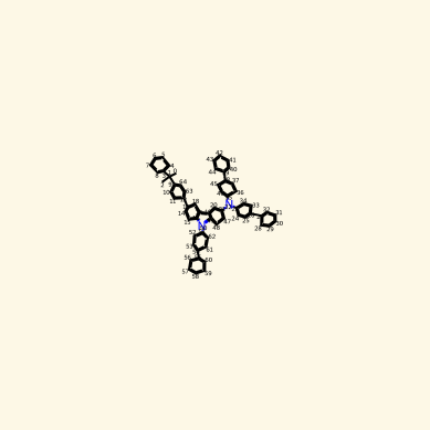 CC(C)(c1ccccc1)c1ccc(-c2ccc3c(c2)c2cc(N(c4ccc(-c5ccccc5)cc4)c4ccc(-c5ccccc5)cc4)ccc2n3-c2ccc(-c3ccccc3)cc2)cc1